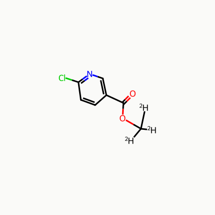 [2H]C([2H])([2H])OC(=O)c1ccc(Cl)nc1